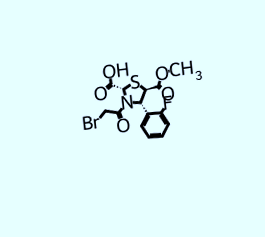 COC(=O)[C@@H]1S[C@@H](C(=O)O)N(C(=O)CBr)[C@H]1c1ccccc1F